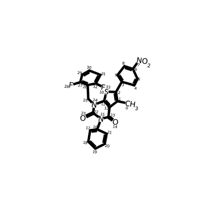 Cc1c(-c2ccc([N+](=O)[O-])cc2)sc2c1c(=O)n(-c1ccccc1)c(=O)n2Cc1c(F)cccc1F